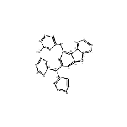 Sc1cccc(Sc2cc(N(c3ccccc3)c3ccccc3)cc3oc4ccccc4c23)c1